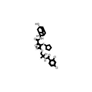 CCC(C)(COc1noc(C(=O)N[C@H]2C3CC4CC2C[C@](O)(C4)C3)c1SC1CCCC1)NC(=O)c1ccc(Cl)cc1Cl